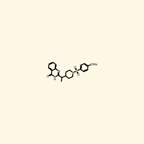 COc1ccc(S(=O)(=O)N2CCC(C(C)c3nc4ccccc4c(=O)[nH]3)CC2)cc1